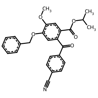 COc1cc(C(=O)OC(C)C)c(C(=O)c2ccc(C#N)cc2)cc1OCc1ccccc1